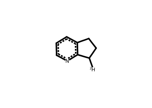 [2H]C1CCc2cccnc21